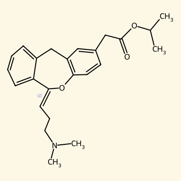 CC(C)OC(=O)Cc1ccc2c(c1)Cc1ccccc1/C(=C/CCN(C)C)O2